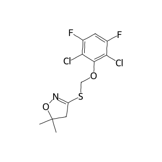 CC1(C)CC(SCOc2c(Cl)c(F)cc(F)c2Cl)=NO1